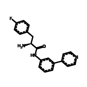 N[C@@H](Cc1ccc(F)cc1)C(=O)Nc1cccc(-c2ccncc2)c1